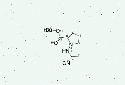 C[C@H](N=O)NN1CCCC1C(=O)OC(C)(C)C